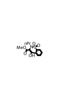 CCCN1C(C(=O)OC)=C(O)c2ccccc2S1(=O)=O